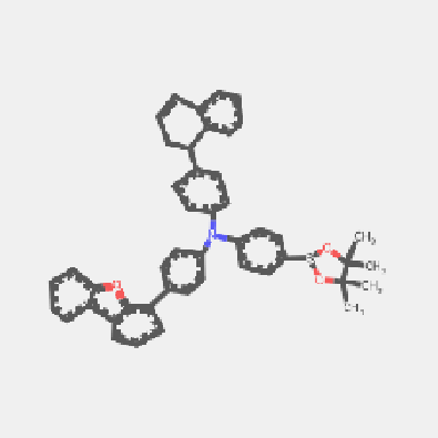 CC1(C)OB(c2ccc(N(c3ccc(-c4cccc5c4oc4ccccc45)cc3)c3ccc(C4CC=Cc5ccccc54)cc3)cc2)OC1(C)C